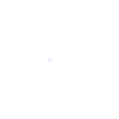 CN(C)C(Cc1ccccc1)(Cc1ccccc1)c1ccccc1